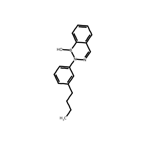 CCCCc1cccc(N2N=Cc3ccccc3B2O)c1